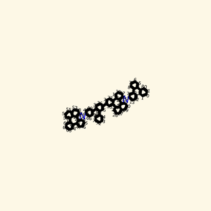 c1ccc(-c2ccccc2-c2cccc(-n3c4cccc5c4c4c6c(cccc6ccc43)-c3cc(-c4ccc(-c6ccc(-n7c8cccc9c8c8c%10c(cccc%10ccc87)-c7ccccc7-9)cc6)c(-c6ccccc6)c4)ccc3-5)c2)cc1